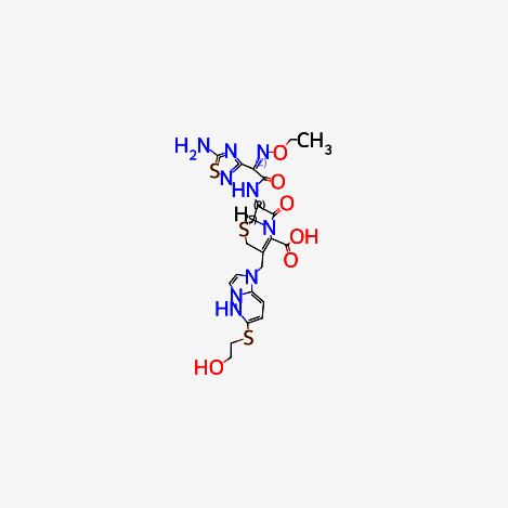 CCO/N=C(\C(=O)N[C@@H]1C(=O)N2C(C(=O)O)=C(CN3C=CN4NC(SCCO)=CC=C34)CS[C@@H]12)c1nsc(N)n1